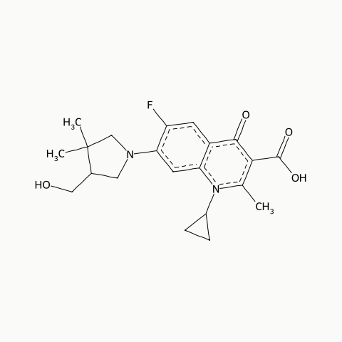 Cc1c(C(=O)O)c(=O)c2cc(F)c(N3CC(CO)C(C)(C)C3)cc2n1C1CC1